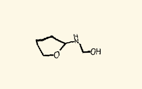 OCNC1CCCO1